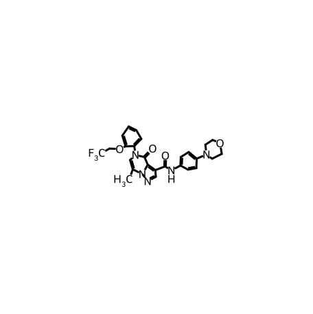 Cc1cn(-c2ccccc2OCC(F)(F)F)c(=O)c2c(C(=O)Nc3ccc(N4CCOCC4)cc3)cnn12